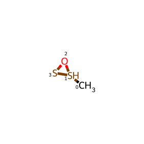 C[SH]1OS1